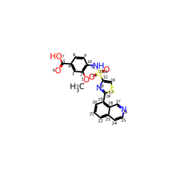 COc1cc(C(=O)O)ccc1NS(=O)(=O)c1csc(-c2cccc3ccncc23)n1